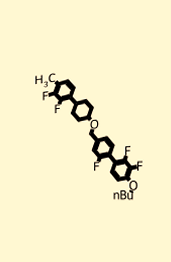 CCCCOc1ccc(-c2ccc(COC3CCC(c4ccc(C)c(F)c4F)CC3)cc2F)c(F)c1F